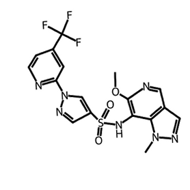 COc1ncc2cnn(C)c2c1NS(=O)(=O)c1cnn(-c2cc(C(F)(F)F)ccn2)c1